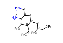 CC(C)CC(CC(CC(CN)CN)C(CC(C)C)CC(C)C)C(C)C